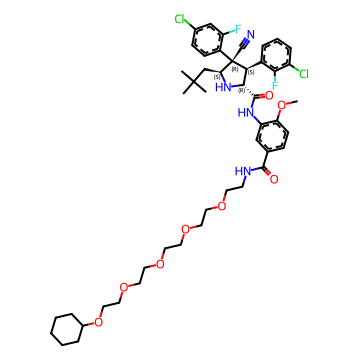 COc1ccc(C(=O)NCCOCCOCCOCCOCCOC2CCCCC2)cc1NC(=O)[C@@H]1N[C@@H](CC(C)(C)C)[C@](C#N)(c2ccc(Cl)cc2F)[C@H]1c1cccc(Cl)c1F